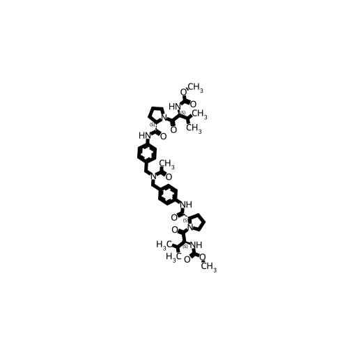 COC(=O)N[C@H](C(=O)N1CCC[C@H]1C(=O)Nc1ccc(CN(Cc2ccc(NC(=O)[C@@H]3CCCN3C(=O)[C@@H](NC(=O)OC)C(C)C)cc2)C(C)=O)cc1)C(C)C